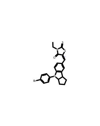 CCN1C(=O)/C(=C\c2ccc3c(c2)C2CCCC2N3c2ccc(Br)cc2)SC1=S